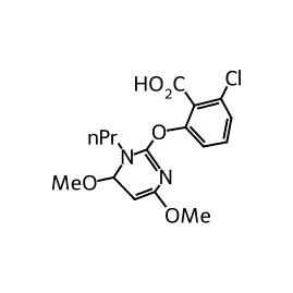 CCCN1C(Oc2cccc(Cl)c2C(=O)O)=NC(OC)=CC1OC